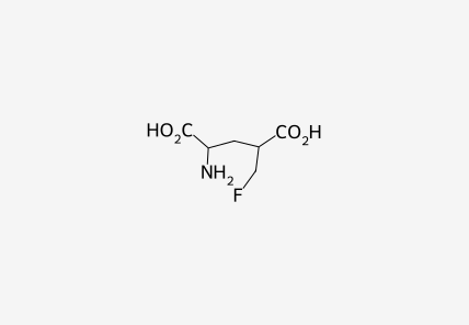 NC(CC(CF)C(=O)O)C(=O)O